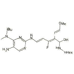 CCCCCCNC(O)C(/C=C/OC)=C(F)/C=C/Nc1ncc(N)c(N(C)C(C)CC)n1